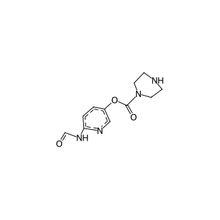 O=CNc1ccc(OC(=O)N2CCNCC2)cn1